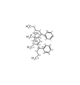 CCCCC(c1ccccc1)P(CP(CC)C(CCC)c1ccccc1)C(C)(C)C